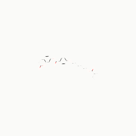 CCC(C)C(=O)OCCCCCCOc1ccc(C(=O)Oc2ccc3c(c2)OC(=O)CC3)cc1